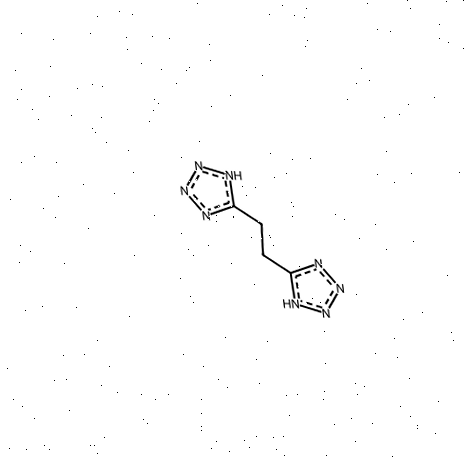 C(Cc1nnn[nH]1)c1nnn[nH]1